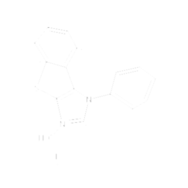 C[n+]1cn(-c2ccccc2)c2c3ccccc3sc21.[I-]